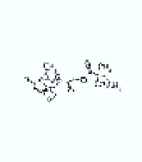 CCC(C)(C)C(=O)OCC(=O)OC1C2OC(=O)C3C2OC1C3C(=O)OC